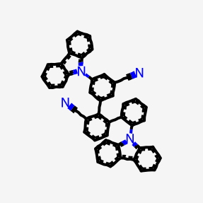 N#Cc1cc(-c2c(C#N)cccc2-c2ccccc2-n2c3ccccc3c3ccccc32)cc(-n2c3ccccc3c3ccccc32)c1